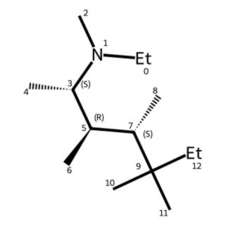 CCN(C)[C@@H](C)[C@H](C)[C@H](C)C(C)(C)CC